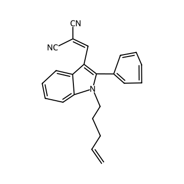 C=CCCCn1c(-c2ccccc2)c(C=C(C#N)C#N)c2ccccc21